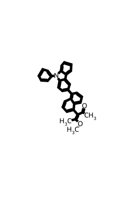 CO/C(C)=C(\C(C)=O)c1cccc2c(-c3ccc4c(c3)c3ccccc3n4-c3ccccc3)cccc12